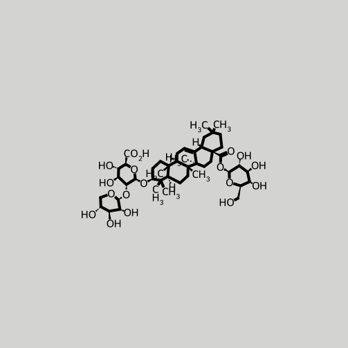 CC1(C)CC[C@]2(C(=O)O[C@@H]3O[C@H](CO)[C@@H](O)[C@H](O)[C@H]3O)CC[C@]3(C)C(=CC[C@@H]4[C@@]5(C)CC[C@H](O[C@@H]6O[C@H](C(=O)O)[C@@H](O)[C@H](O)[C@H]6O[C@H]6OC[C@@H](O)[C@H](O)[C@H]6O)C(C)(C)[C@@H]5CC[C@]43C)[C@@H]2C1